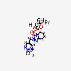 CCCC(C)(C)OC(=O)[C@@H]1CCCc2nn(Cc3cnc(C(F)(F)F)nc3)c(=O)n21